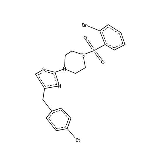 CCc1ccc(Cc2csc(N3CCN(S(=O)(=O)c4ccccc4Br)CC3)n2)cc1